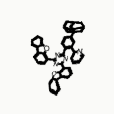 c1ccc(-c2cc(C34CC5CC(CC(C5)C3)C4)ccc2-c2nc(-c3cccc4c3oc3ccccc34)nc(-c3cccc4c3oc3ccccc34)n2)nc1